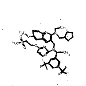 CCN(CC1CCCC1)c1nc2ccc(OC)cc2cc1CN(c1nccc(OCCS(C)(=O)=O)n1)C(C)c1cc(C(F)(F)F)cc(C(F)(F)F)c1